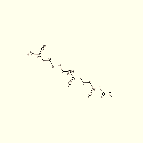 COCC(=O)CCCC(=O)NCCCCCC(C)=O